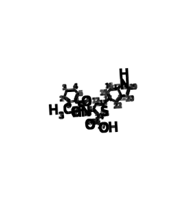 Cc1ccccc1S(=O)(=O)Nc1cc(-c2ccc3[nH]ccc3c2)sc1C(=O)O